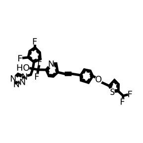 OC(Cn1cnnn1)(c1ccc(F)cc1F)C(F)(F)c1ccc(C#Cc2ccc(OCc3ccc(C(F)F)s3)cc2)cn1